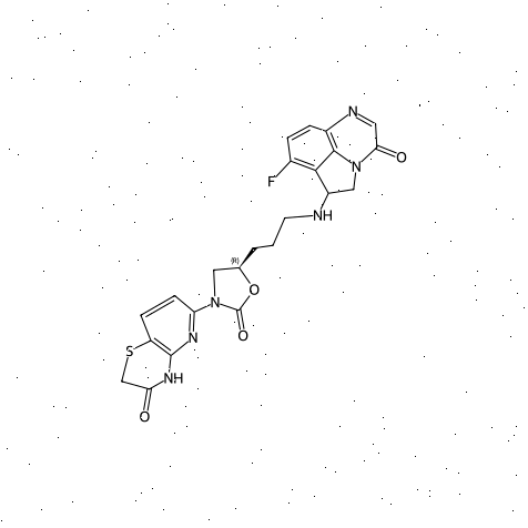 O=C1CSc2ccc(N3C[C@@H](CCCNC4Cn5c(=O)cnc6ccc(F)c4c65)OC3=O)nc2N1